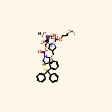 C=CCOC(=O)N1C[C@@H](SC(c2ccccc2)(c2ccccc2)c2ccccc2)C[C@H]1CC1C[C@@H](C(=O)N(C)C)N(C(=O)OCC=C)C1